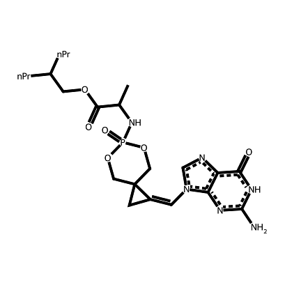 CCCC(CCC)COC(=O)C(C)NP1(=O)OCC2(CO1)C/C2=C/n1cnc2c(=O)[nH]c(N)nc21